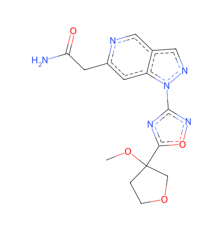 COC1(c2nc(-n3ncc4cnc(CC(N)=O)cc43)no2)CCOC1